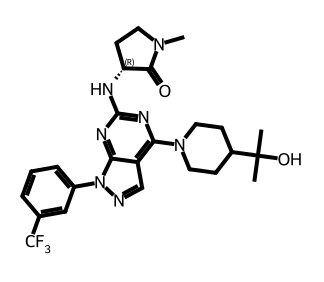 CN1CC[C@@H](Nc2nc(N3CCC(C(C)(C)O)CC3)c3cnn(-c4cccc(C(F)(F)F)c4)c3n2)C1=O